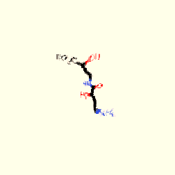 NCCC(O)C(=O)NCCC(O)C(=O)O